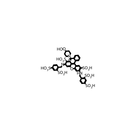 O=C(c1ccccc1-c1c2cc(S(=O)(=O)O)/c(=N/Cc3ccc(S(=O)(=O)O)cc3S(=O)(=O)O)cc-2oc2cc(NCc3ccc(S(=O)(=O)O)cc3S(=O)(=O)O)c(S(=O)(=O)O)cc12)N1CCC(OO)CC1